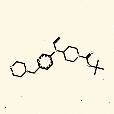 C=CN(c1ccc(CN2CCOCC2)cc1)C1CCN(C(=O)OC(C)(C)C)CC1